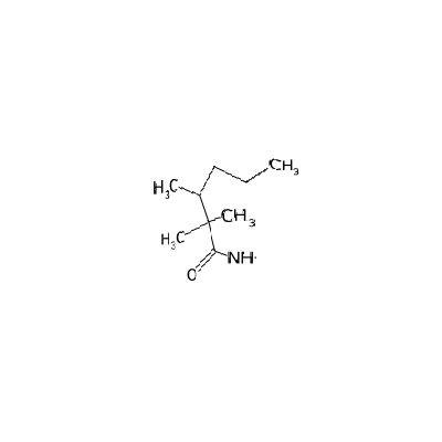 CCCC(C)C(C)(C)C([NH])=O